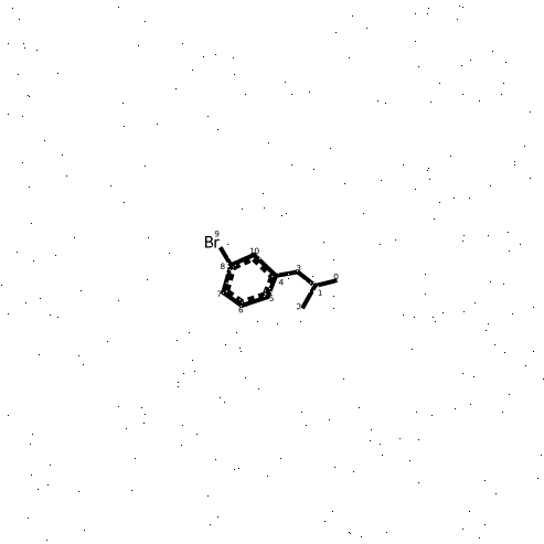 CC(C)Cc1c[c]cc(Br)c1